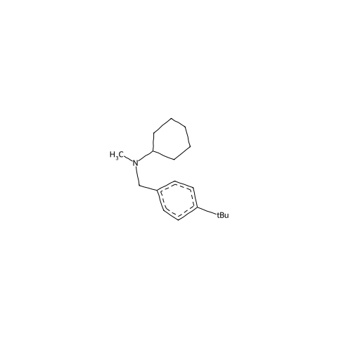 CN(Cc1ccc(C(C)(C)C)cc1)C1CCCCC1